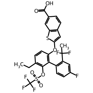 CCc1ccc(Oc2cc3ccc(C(=O)O)cc3s2)c(-c2ccc(F)cc2C(C)(F)F)c1OS(=O)(=O)C(F)(F)F